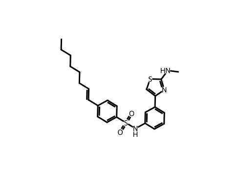 CCCCCCC=Cc1ccc(S(=O)(=O)Nc2cccc(-c3csc(NC)n3)c2)cc1